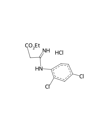 CCOC(=O)CC(=N)Nc1ccc(Cl)cc1Cl.Cl